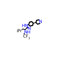 CC(C)CC(NCC(F)(F)F)c1nc2cc(-c3ccncc3)ccc2[nH]1